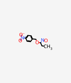 CCC(N=O)OCc1ccc([N+](=O)[O-])cc1